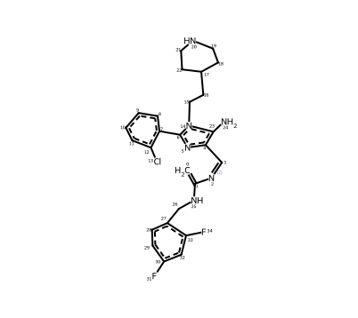 C=C(/N=C\c1nc(-c2ccccc2Cl)n(CCC2CCNCC2)c1N)NCc1ccc(F)cc1F